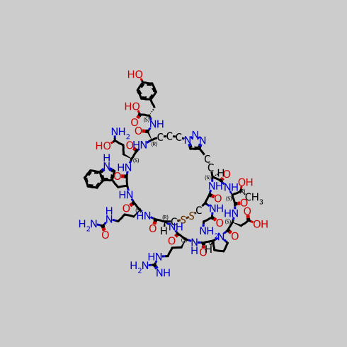 C[C@@H](O)[C@@H]1NC(=O)[C@@H]2CCc3cn(nn3)CCC[C@H](C(=O)N[C@@H](Cc3ccc(O)cc3)C(=O)O)NC(=O)[C@H](CCC(N)O)NC(=O)C(Cc3c[nH]c4ccccc34)NC(=O)[C@H](CCCNC(N)=O)NC(=O)[C@H](CSSCC(NC(=O)CN)C(=O)N2)NC(=O)[C@H](CCCNC(=N)N)NC(=O)[C@@H]2CCCN2C(=O)[C@H](CC(=O)O)NC1=O